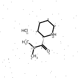 CN(C)C(=O)[C@@H]1CCCCN1.Cl